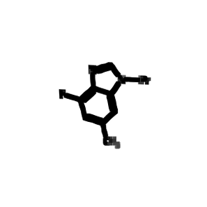 Cc1cc(F)c2ncn(C(C)C)c2c1